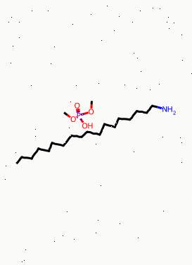 CCCCCCCCCCCCCCCCCCN.COP(=O)(O)OC